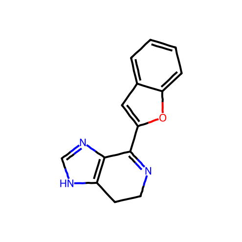 c1ccc2oc(C3=NCCc4[nH]cnc43)cc2c1